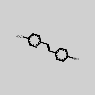 CSc1ccc(C=Cc2ccc(C(=O)O)cn2)cc1